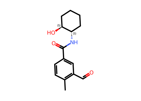 Cc1ccc(C(=O)N[C@H]2CCCC[C@@H]2O)cc1C=O